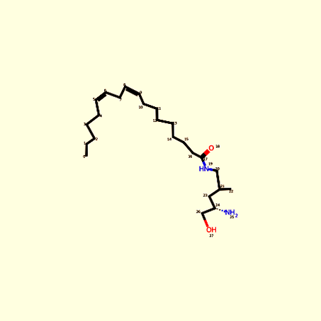 CCCCC/C=C\C/C=C\CCCCCCCC(=O)NCC(C)C[C@H](N)CO